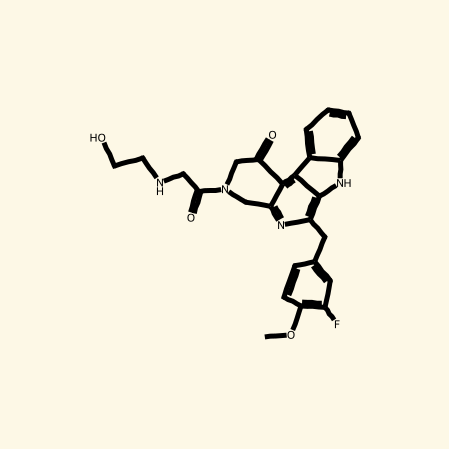 COc1ccc(Cc2nc3c(c4c2[nH]c2ccccc24)C(=O)CN(C(=O)CNCCO)C3)cc1F